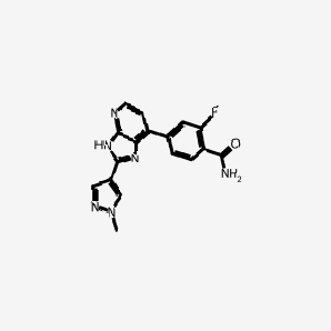 Cn1cc(-c2nc3c(-c4ccc(C(N)=O)c(F)c4)ccnc3[nH]2)cn1